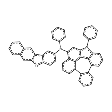 c1ccc(N(c2ccc3oc4cc5ccccc5cc4c3c2)c2cc3c4c5c(cccc25)-c2ccccc2-c2cccc(c24)n3-c2ccccc2)cc1